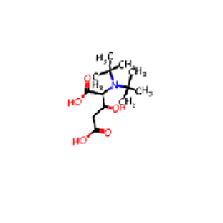 CC(C)(C)N([C@H](C(=O)O)C(O)CC(=O)O)C(C)(C)C